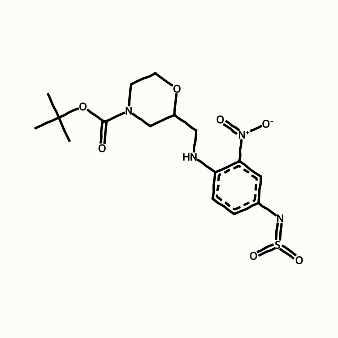 CC(C)(C)OC(=O)N1CCOC(CNc2ccc(N=S(=O)=O)cc2[N+](=O)[O-])C1